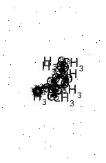 CC(C)C(=O)O[C@H]1[C@H](C)OC(=O)[C@@H](NC(=O)OC(C)(C)C)COC(=O)[C@@H]1CCOCc1ccccc1